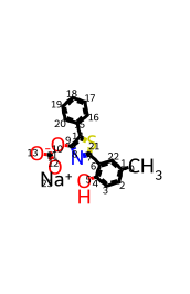 Cc1ccc(O)c(-c2nc(OC(=O)[O-])c(-c3ccccc3)s2)c1.[Na+]